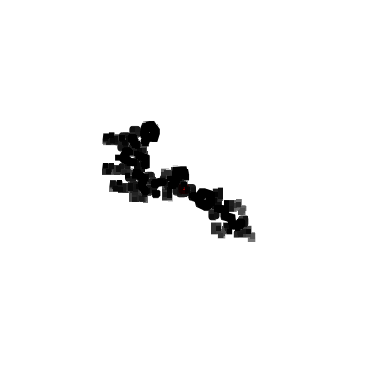 CC[C@H](C)[C@@H]([C@@H](CC(=O)N1CCC[C@H]1[C@H](OC)[C@@H](C)C(=O)N[C@@H](Cc1ccccc1)C(=O)OC)OC)N(C)C(=O)[C@@H](NC(=O)[C@]1(C)CCCN1C(=O)OCc1ccc(NC(=O)[C@@H](N)CCC(N)C(N)=O)cc1)C(C)C